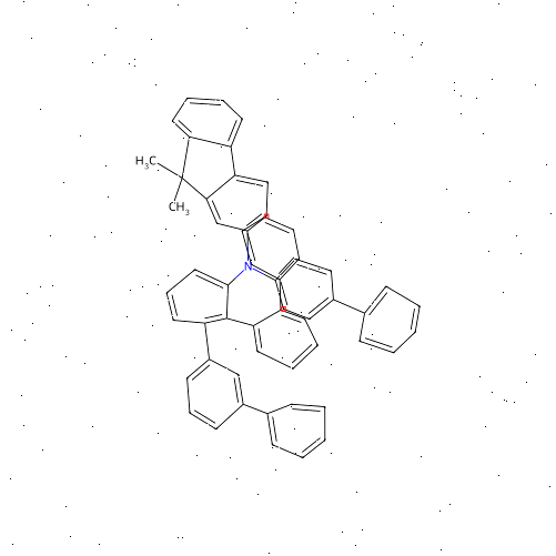 CC1(C)c2ccccc2-c2ccc(N(c3ccc(-c4ccccc4)cc3)c3cccc(-c4cccc(-c5ccccc5)c4)c3-c3ccccc3-c3ccccc3)cc21